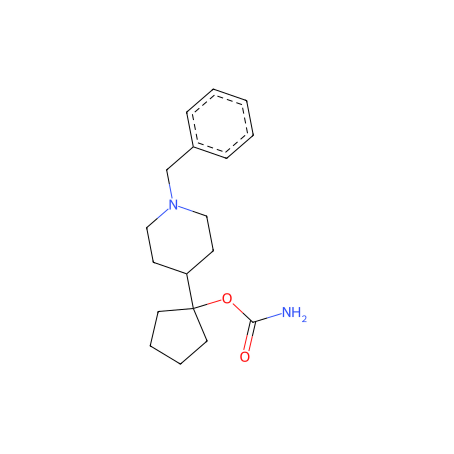 NC(=O)OC1(C2CCN(Cc3ccccc3)CC2)CCCC1